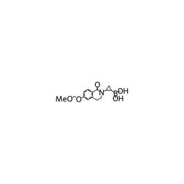 COCOc1ccc2c(c1)CCN(C1CC1B(O)O)C2=O